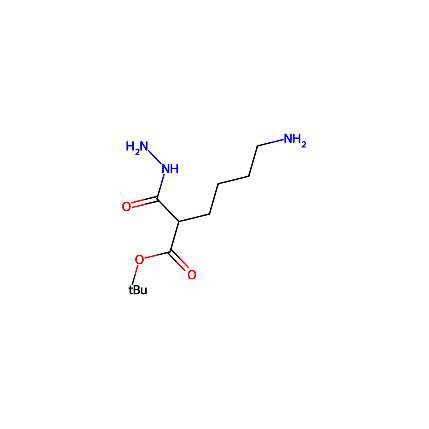 CC(C)(C)OC(=O)C(CCCCN)C(=O)NN